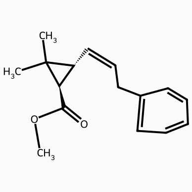 COC(=O)[C@@H]1[C@@H](/C=C\Cc2ccccc2)C1(C)C